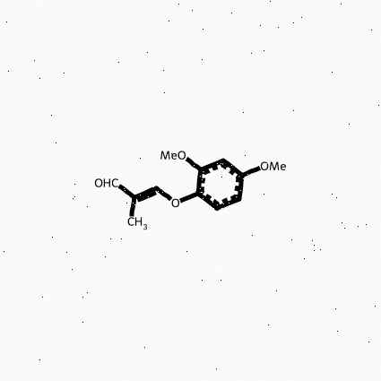 COc1ccc(O/C=C(\C)C=O)c(OC)c1